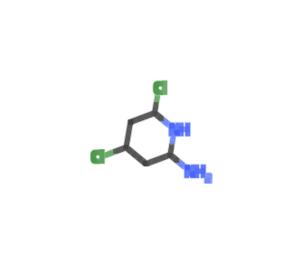 NC1CC(Cl)CC(Cl)N1